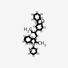 C=C/C(=C\c1c(C)n(-c2ccccn2)c2cc#ccc12)c1ccc2oc3ccccc3c2c1